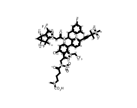 CN(CCCC(=O)N(Cc1nn(CC(F)(F)F)c2c(-c3ccc(C#CC(C)(C)S(C)(=O)=O)nc3C(Cc3cc(F)cc(F)c3)NC(=O)Cn3nc(C(F)(F)F)c4c3C(F)(F)[C@@H]3C[C@H]43)ccc(Cl)c12)[SH](=O)=O)C(=O)O